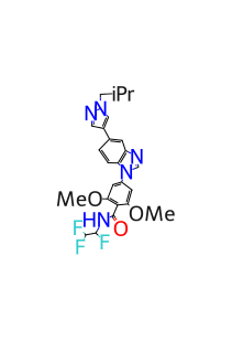 COc1cc(-n2cnc3cc(-c4cnn(CC(C)C)c4)ccc32)cc(OC)c1C(=O)NC(F)C(F)F